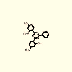 COc1ccc(-c2nc(-c3ccccc3)nc(-c3ccc(C(F)(F)F)cc3NC(C)=O)n2)c(O)c1